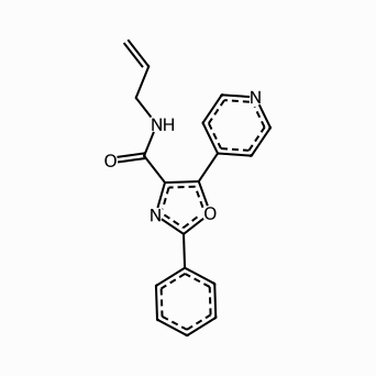 C=CCNC(=O)c1nc(-c2ccccc2)oc1-c1ccncc1